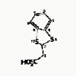 O=C(O)CC1Sc2ccccc2S1